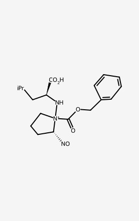 CC(C)C[C@H](N[N+]1(C(=O)OCc2ccccc2)CCC[C@H]1N=O)C(=O)O